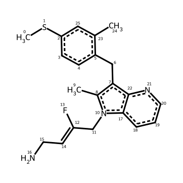 CSc1ccc(Cc2c(C)n(C/C(F)=C/CN)c3cccnc23)c(C)c1